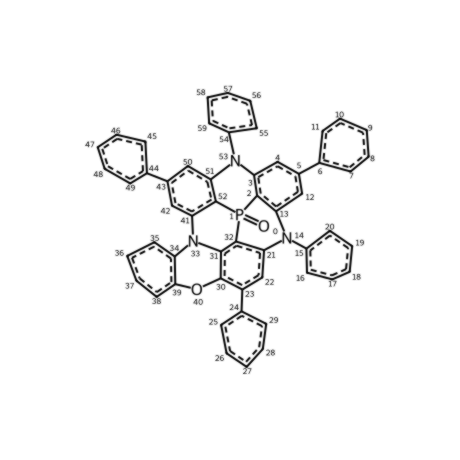 O=P12c3c4cc(-c5ccccc5)cc3N(c3ccccc3)c3cc(-c5ccccc5)c5c(c31)N(c1ccccc1O5)c1cc(-c3ccccc3)cc(c12)N4c1ccccc1